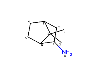 CC1(C)C2CCC1C(N)C2